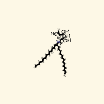 CCCCCCCCCCCCCCC(/C=C(\F)C(OC(CO)C(C)O)C(O)O)CCCCCCCCCCCCCC